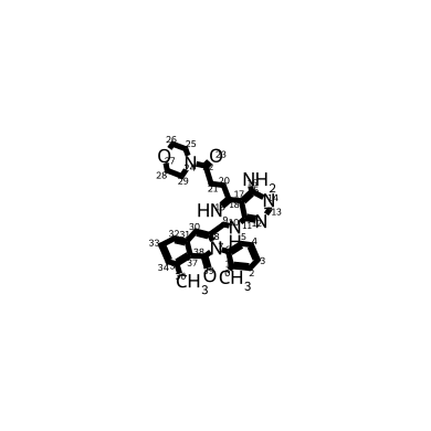 Cc1ccccc1-n1c(CNc2ncnc(N)c2C(=N)CCC(=O)N2CCOCC2)cc2cccc(C)c2c1=O